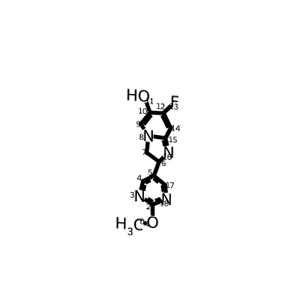 COc1ncc(C2CN3C=C(O)C(F)=CC3=N2)cn1